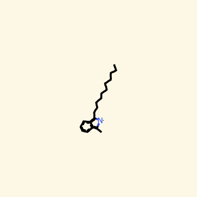 CCCCCCCCCCCC1=c2ccccc2=C(C)[N]1